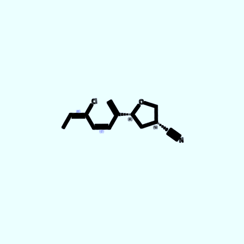 C=C(/C=C\C(Cl)=C/C)[C@H]1C[C@@H](C#N)CO1